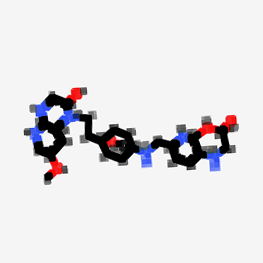 COc1cnc2ncc(=O)n(CCC34CCC(NCc5ccc6c(n5)OC(=O)CN6)(CC3)CO4)c2c1